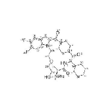 CN[C@@H](C)C(=O)NC(C(=O)N1CCN(C(=O)c2cc3cc(F)c(F)cc3n2CCOCCO)CC1)C1CCCCC1